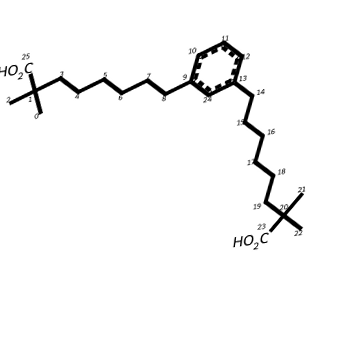 CC(C)(CCCCCCc1cccc(CCCCCCC(C)(C)C(=O)O)c1)C(=O)O